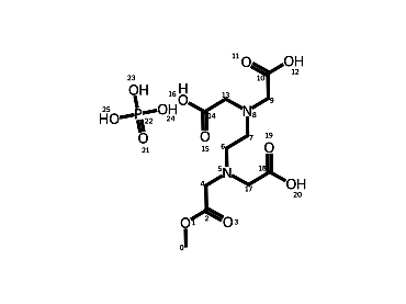 COC(=O)CN(CCN(CC(=O)O)CC(=O)O)CC(=O)O.O=P(O)(O)O